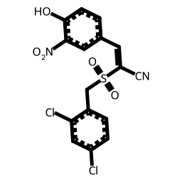 N#CC(=Cc1ccc(O)c([N+](=O)[O-])c1)S(=O)(=O)Cc1ccc(Cl)cc1Cl